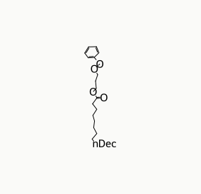 CCCCCCCCCCCCCCCCCC(=O)OCCCOOc1ccccc1